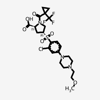 COCCN1CCN(c2ccc(S(=O)(=O)[C@@H]3C[C@@H](C(=O)O)N(C(=O)C4(C(F)(F)F)CC4)C3)c(Cl)c2)CC1